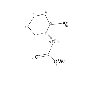 COC(=O)N[C@@H]1CCCCC1C(C)=O